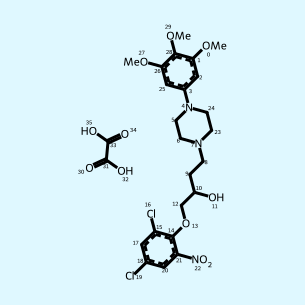 COc1cc(N2CCN(CCC(O)COc3c(Cl)cc(Cl)cc3[N+](=O)[O-])CC2)cc(OC)c1OC.O=C(O)C(=O)O